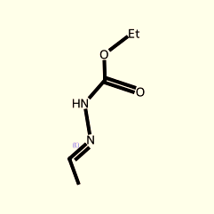 C/C=N/NC(=O)OCC